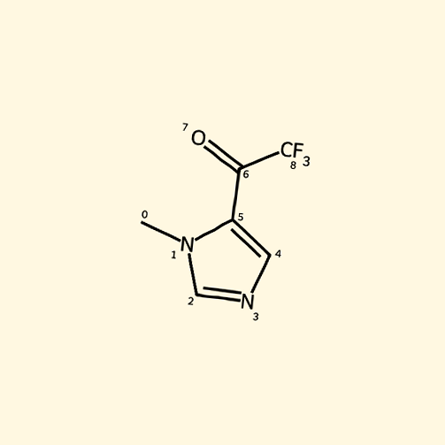 Cn1cncc1C(=O)C(F)(F)F